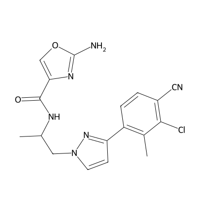 Cc1c(-c2ccn(CC(C)NC(=O)c3coc(N)n3)n2)ccc(C#N)c1Cl